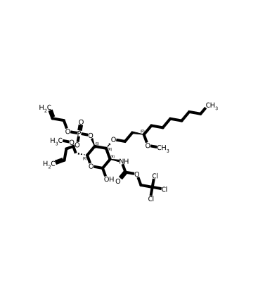 C=CCOP(=O)(OCC=C)O[C@H]1[C@H](OCC[C@@H](CCCCCCC)OC)[C@@H](NC(=O)OCC(Cl)(Cl)Cl)C(O)O[C@@H]1COC